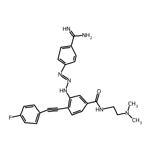 CN(C)CCNC(=O)c1ccc(C#Cc2ccc(F)cc2)c(N/N=N/c2ccc(C(=N)N)cc2)c1